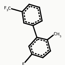 Cc1ccc(F)cc1-c1cccc(C(F)(F)F)c1